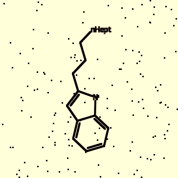 CCCCCCCCCCC1=Cc2ccccc2[N]1